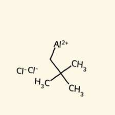 CC(C)(C)[CH2][Al+2].[Cl-].[Cl-]